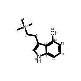 C[N+](C)(C)CCc1c[nH]c2cccc(O)c12